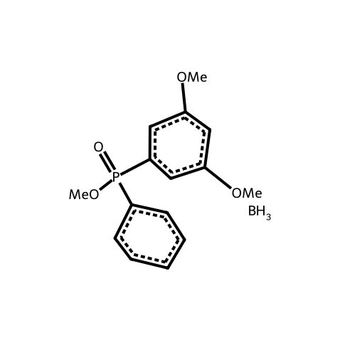 B.COc1cc(OC)cc(P(=O)(OC)c2ccccc2)c1